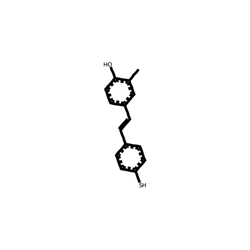 Cc1cc(/C=C/c2ccc(S)cc2)ccc1O